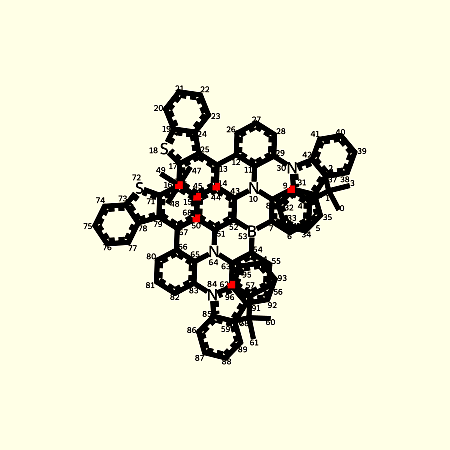 CC(C)(C)c1ccc2c(c1)N(c1c(-c3cccc4sc5ccccc5c34)cccc1-n1c3ccccc3c3ccccc31)c1cc(C(C)(C)C)cc3c1B2c1ccc(C(C)(C)C)cc1N3c1c(-c2cccc3sc4ccccc4c23)cccc1-n1c2ccccc2c2ccccc21